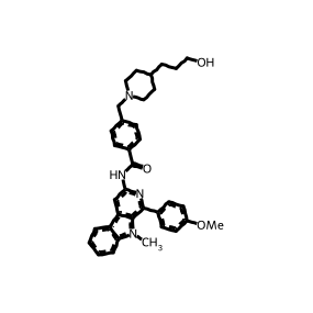 COc1ccc(-c2nc(NC(=O)c3ccc(CN4CCC(CCCO)CC4)cc3)cc3c4ccccc4n(C)c23)cc1